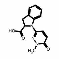 Cn1nc(N2c3ccccc3CC2C(=O)O)ccc1=O